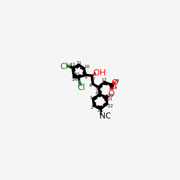 [C-]#[N+]c1ccc2c(CC(O)c3ccc(Cl)cc3Cl)cc(=O)oc2c1